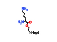 CCCCCCCCCOC(=O)C(N)CCCCN